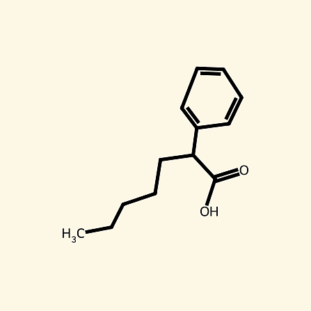 CCCCCC(C(=O)O)c1ccccc1